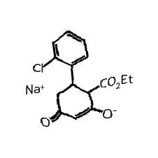 CCOC(=O)C1C([O-])=CC(=O)CC1c1ccccc1Cl.[Na+]